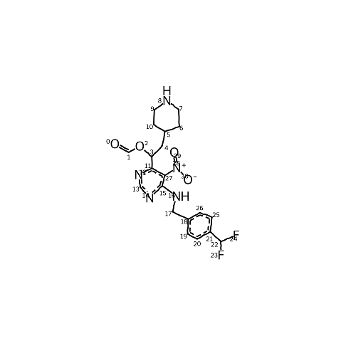 O=COC(CC1CCNCC1)c1ncnc(NCc2ccc(C(F)F)cc2)c1[N+](=O)[O-]